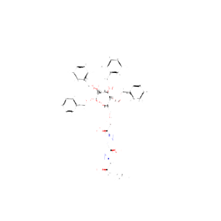 COC(=O)CNC(=O)CNC(=O)COC[C@H]1OC(OCc2ccccc2)[C@H](OCc2ccccc2)[C@@H](OCc2ccccc2)[C@@H]1OCc1ccccc1